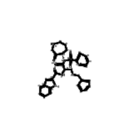 O=C(NC(COCc1ccccc1)C(=O)N([C@H]1CCCNCC1=O)S(=O)(=O)c1ccccn1)c1cc2ccccc2o1